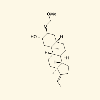 CC=C1CC[C@H]2[C@@H]3CC[C@H]4C[C@H](OCOC)[C@@H](O)C[C@]4(C)[C@H]3CC[C@]12C